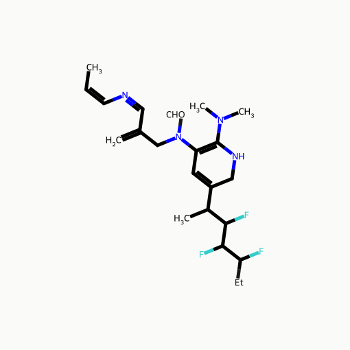 C=C(/C=N\C=C/C)CN(C=O)C1=C(N(C)C)NCC(C(C)C(F)C(F)C(F)CC)=C1